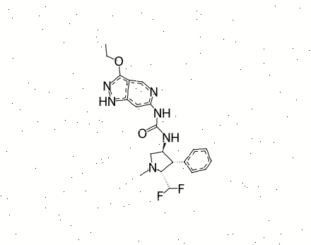 CCOc1n[nH]c2cc(NC(=O)N[C@@H]3CN(C)[C@@H](C(F)F)[C@H]3c3ccccc3)ncc12